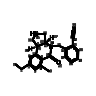 CCc1cc(C)c2c(c1)[C@H]1CNC[C@@H]1N(Cc1ccccc1C#N)C2=O